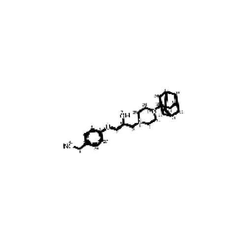 N#CCc1ccc(OCC(O)CN2CCN(C34CC5CC(CC(C5)C3)C4)CC2)cc1